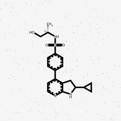 C[C@@H](CO)NS(=O)(=O)c1ccc(-c2ccnc3c2CC(C2CC2)N3)cc1